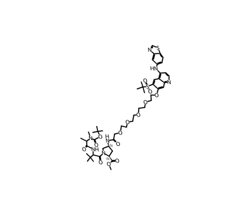 COC(=O)[C@@H]1C[C@H](NC(=O)COCCOCCOCCOCCOc2cc3nccc(Nc4ccc5scnc5c4)c3cc2S(=O)(=O)C(C)(C)C)CN1C(=O)C(NC(=O)C(C)N(C)C(=O)OC(C)(C)C)C(C)(C)C